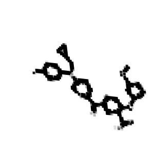 COc1cccc(Oc2ccc(C(=O)c3ccc(N(CC4CC4)c4ccc(Cl)cc4)cn3)cc2C(=O)O)c1